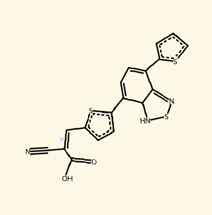 N#C/C(=C/c1ccc(C2=CC=C(c3cccs3)C3=NSNC23)s1)C(=O)O